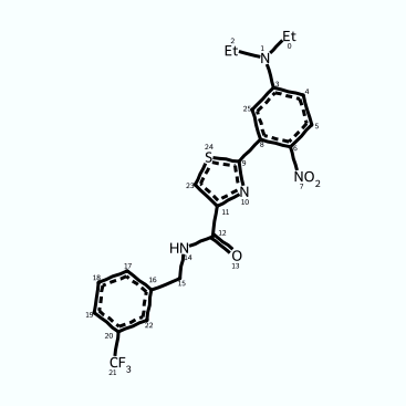 CCN(CC)c1ccc([N+](=O)[O-])c(-c2nc(C(=O)NCc3cccc(C(F)(F)F)c3)cs2)c1